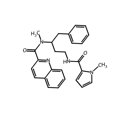 CN(C(=O)c1ccc2ccccc2n1)C(CCNC(=O)c1cccn1C)Cc1ccccc1